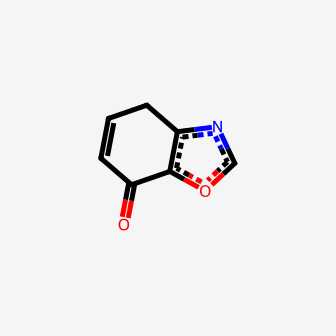 O=C1C=CCc2ncoc21